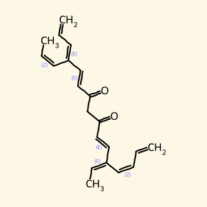 C=C\C=C/C(/C=C/C(=O)CC(=O)/C=C/C(/C=C\C)=C/C=C)=C\C